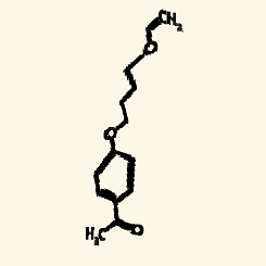 C=COCCCCOc1ccc(C(C)=O)cc1